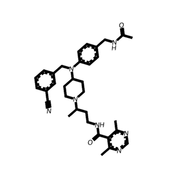 CC(=O)NCc1ccc(N(Cc2cccc(C#N)c2)C2CCN(C(C)CCNC(=O)c3c(C)ncnc3C)CC2)cc1